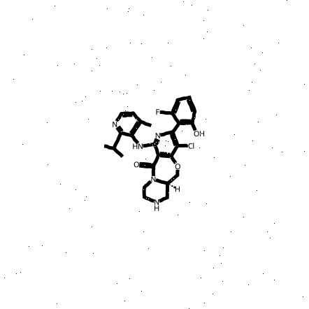 Cc1ccnc(C(C)C)c1Nc1nc(-c2c(O)cccc2F)c(Cl)c2c1C(=O)N1CCNC[C@@H]1CO2